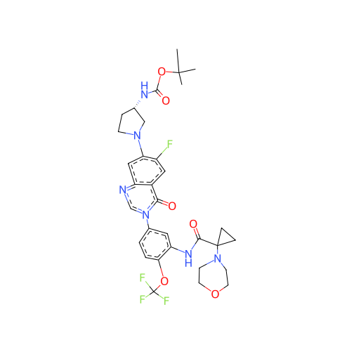 CC(C)(C)OC(=O)N[C@H]1CCN(c2cc3ncn(-c4ccc(OC(F)(F)F)c(NC(=O)C5(N6CCOCC6)CC5)c4)c(=O)c3cc2F)C1